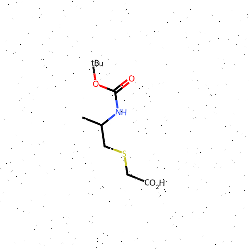 CC(CSCC(=O)O)NC(=O)OC(C)(C)C